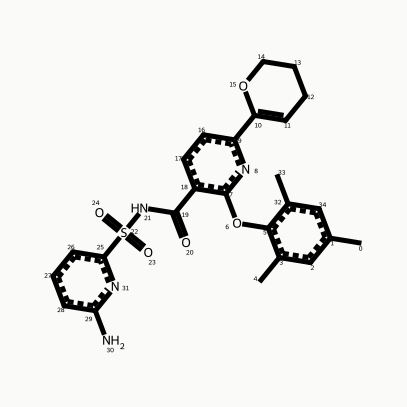 Cc1cc(C)c(Oc2nc(C3=CCCCO3)ccc2C(=O)NS(=O)(=O)c2cccc(N)n2)c(C)c1